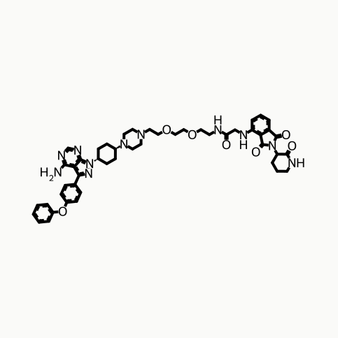 Nc1ncnc2c1c(-c1ccc(Oc3ccccc3)cc1)nn2[C@H]1CC[C@H](N2CCN(CCOCCOCCNC(=O)CNc3cccc4c3C(=O)N(C3CCCNC3=O)C4=O)CC2)CC1